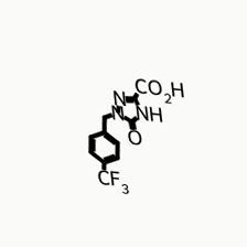 O=C(O)c1nn(Cc2ccc(C(F)(F)F)cc2)c(=O)[nH]1